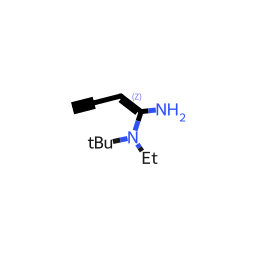 C#C/C=C(/N)N(CC)C(C)(C)C